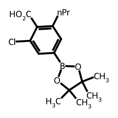 CCCc1cc(B2OC(C)(C)C(C)(C)O2)cc(Cl)c1C(=O)O